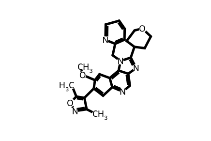 COc1cc2c(cc1-c1c(C)noc1C)ncc1nc(C3CCOCC3)n(Cc3ccccn3)c12